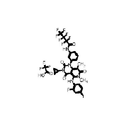 Cc1c(=O)n(C)c(Nc2ccc(I)cc2F)c2c(=O)n(C3CC3)c(=O)n(-c3cccc(NC(=O)C(F)(F)C(F)(F)C(F)(F)F)c3)c12.O=C(O)C(F)(F)F